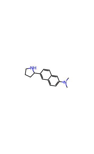 CN(C)c1ccc2cc(C3CCCN3)ccc2c1